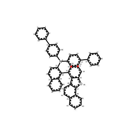 c1ccc(-c2ccc(N(c3ccc(-c4ccccc4)cc3)c3ccc4ccccc4c3-c3cccc4oc5c6ccccc6ccc5c34)cc2)cc1